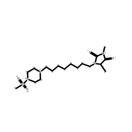 CC1C(=O)N(C)C(=S)N1CCCCCCCCN1CCN(S(C)(=O)=O)CC1